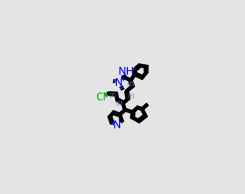 CC1C=CC=C(C(C(/C=C/C=C(\C(=N)N(C)C)c2ccccc2)=C/C=C\Cl)c2cccnc2)C1